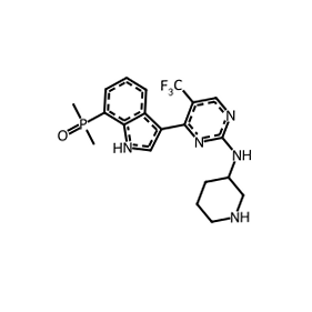 CP(C)(=O)c1cccc2c(-c3nc(NC4CCCNC4)ncc3C(F)(F)F)c[nH]c12